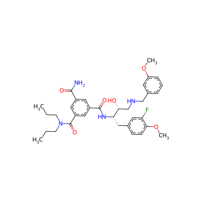 CCCN(CCC)C(=O)c1cc(C(N)=O)cc(C(=O)N[C@@H](Cc2ccc(OC)c(F)c2)[C@H](O)CNCc2cccc(OC)c2)c1